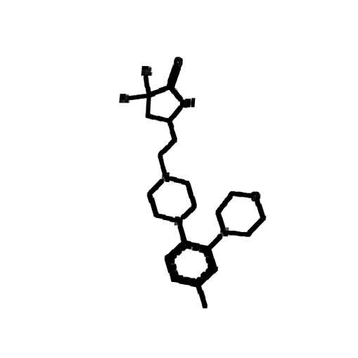 CCC1(CC)CC(CCN2CCN(c3ccc(C)cc3N3CCOCC3)CC2)NC1=O